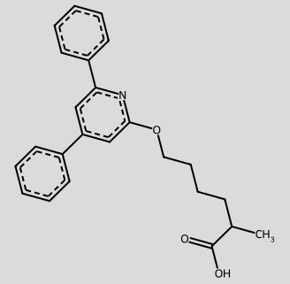 CC(CCCCOc1cc(-c2ccccc2)cc(-c2ccccc2)n1)C(=O)O